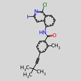 Cc1cc(C#CC(C)(C)C)ccc1C(=O)Nc1cccc2c(Cl)nc(I)cc12